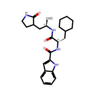 O=C[C@H](CC1CCNC1=O)NC(=O)[C@H](CC1CCCCC1)NC(=O)c1cc2ccccc2[nH]1